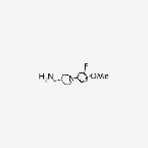 COc1ccc(N2CCC(CN)CC2)cc1F